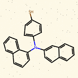 Sc1ccc(N(c2ccc3ccccc3c2)c2cccc3ccccc23)cc1